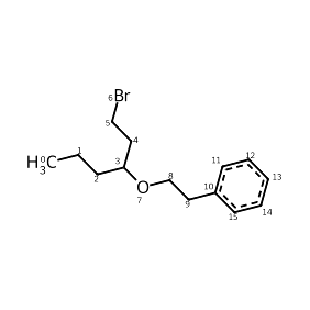 CCCC(CCBr)OCCc1ccccc1